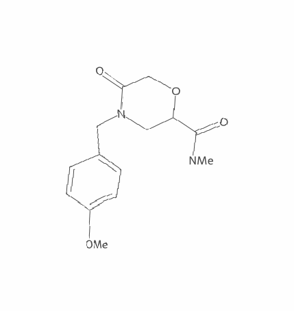 CNC(=O)C1CN(Cc2ccc(OC)cc2)C(=O)CO1